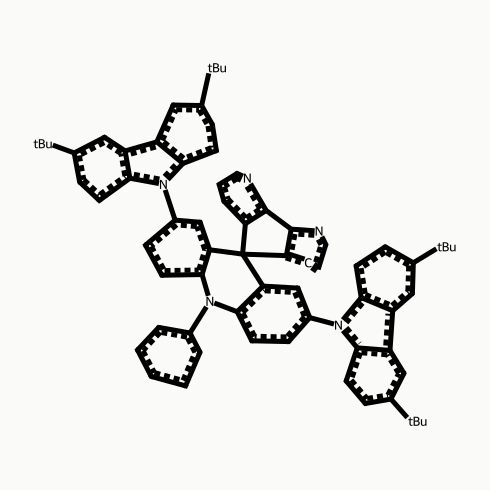 CC(C)(C)c1ccc2c(c1)c1cc(C(C)(C)C)ccc1n2-c1ccc2c(c1)C1(c3cc(-n4c5ccc(C(C)(C)C)cc5c5cc(C(C)(C)C)ccc54)ccc3N2c2ccccc2)c2cccnc2-c2ncccc21